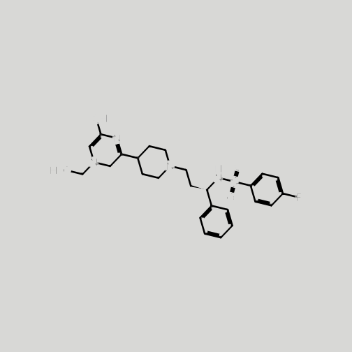 CCN1C=C(C)N=C(C2CCN(CC[C@@H](NS(=O)(=O)c3ccc(F)cc3)c3ccccc3)CC2)C1